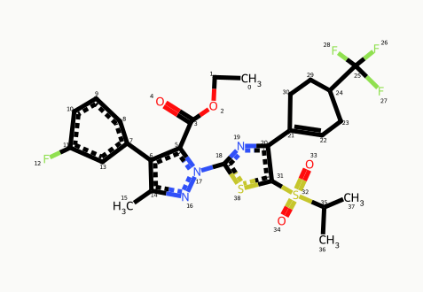 CCOC(=O)c1c(-c2cccc(F)c2)c(C)nn1-c1nc(C2=CCC(C(F)(F)F)CC2)c(S(=O)(=O)C(C)C)s1